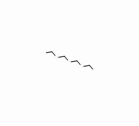 CCNC[N]CNCC